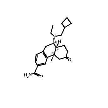 CCN(CC1CCC1)[C@@H]1Cc2ccc(C(N)=O)cc2[C@@]2(C)CC(=O)CC[C@@H]12